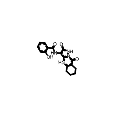 O=C(Nc1c(=O)[nH]n2c(=O)c3c([nH]c12)CCCC3)c1ccccc1O